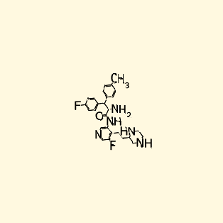 Cc1ccc(C(c2ccc(F)cc2)[C@H](N)C(=O)Nc2cncc(F)c2CC[C@@H]2CNCCN2)cc1